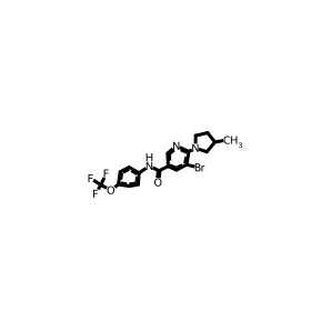 CC1CCN(c2ncc(C(=O)Nc3ccc(OC(F)(F)F)cc3)cc2Br)C1